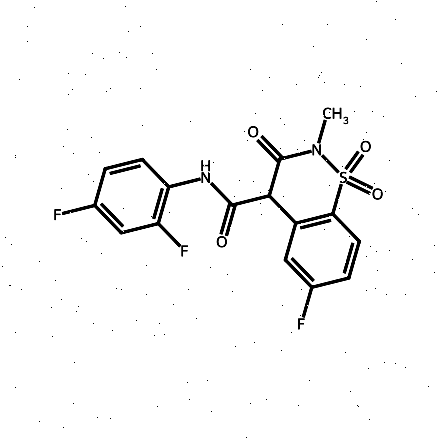 CN1C(=O)C(C(=O)Nc2ccc(F)cc2F)c2cc(F)ccc2S1(=O)=O